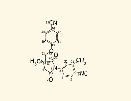 [C-]#[N+]c1ccc(N2C(=O)C[C@@](C)(COc3ccc(C#N)cc3)C2=O)cc1C